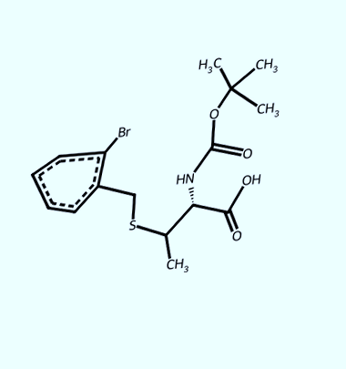 CC(SCc1ccccc1Br)[C@H](NC(=O)OC(C)(C)C)C(=O)O